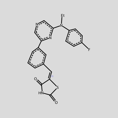 CCN(c1ccc(F)cc1)c1cncc(-c2cccc(/C=C3/SC(=O)NC3=O)c2)n1